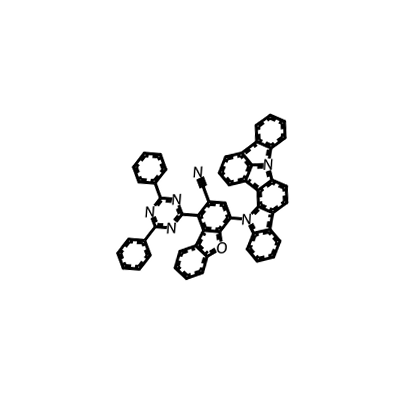 N#Cc1cc(-n2c3ccccc3c3ccc4c(c5cccc6c7ccccc7n4c65)c32)c2oc3ccccc3c2c1-c1nc(-c2ccccc2)nc(-c2ccccc2)n1